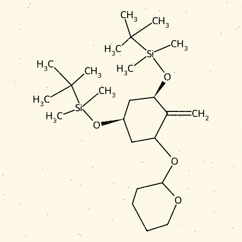 C=C1C(OC2CCCCO2)C[C@@H](O[Si](C)(C)C(C)(C)C)C[C@H]1O[Si](C)(C)C(C)(C)C